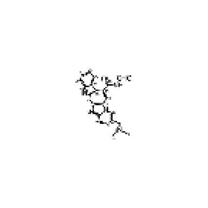 Cc1nc2cnc(CN(C)C)cn2c1/C=C(/C(=O)NC=O)c1c[nH]c2ccccc12